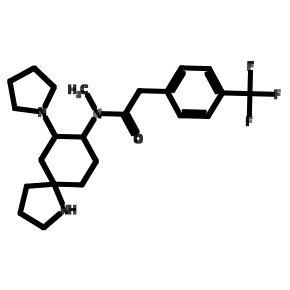 CN(C(=O)Cc1ccc(C(F)(F)F)cc1)C1CCC2(CCCN2)CC1N1CCCC1